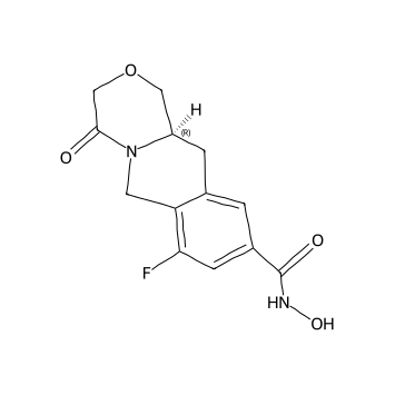 O=C(NO)c1cc(F)c2c(c1)C[C@@H]1COCC(=O)N1C2